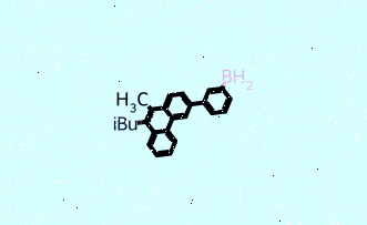 Bc1cccc(-c2ccc3c(C)c(C(C)CC)c4ccccc4c3c2)c1